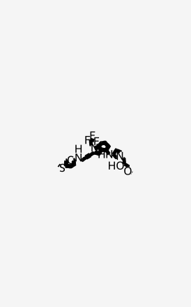 COCC(O)CN1CCC(Nc2cccc3c2cc(C#CCNc2ccc(SC)cc2)n3CC(F)(F)F)C1